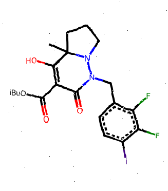 CC(C)COC(=O)C1=C(O)C2(C)CCCN2N(Cc2ccc(I)c(F)c2F)C1=O